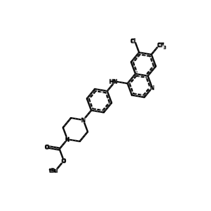 CC(C)(C)OC(=O)N1CCN(c2ccc(Nc3ccnc4cc(C(F)(F)F)c(Cl)cc34)cc2)CC1